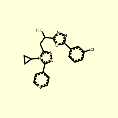 CC(Cc1nnc(-c2ccncc2)n1C1CC1)c1nnc(-c2cccc(Cl)c2)o1